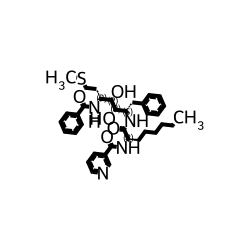 CCCCCC[C@@H](NC(=O)c1cccnc1)C(=O)N[C@@H](Cc1ccccc1)[C@@H](O)[C@H](O)[C@@H](CCSC)NC(=O)c1ccccc1